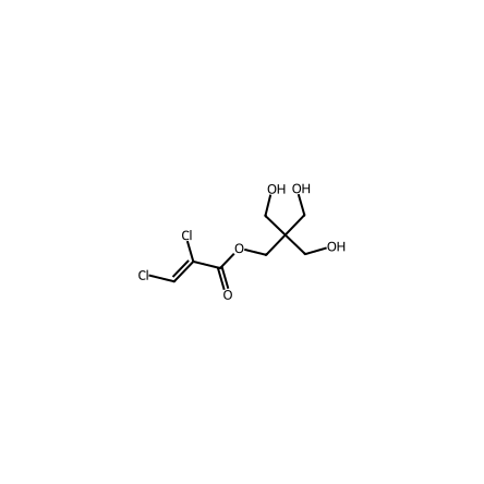 O=C(OCC(CO)(CO)CO)/C(Cl)=C/Cl